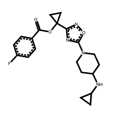 O=C(OC1(c2noc(N3CCC(NC4CC4)CC3)n2)CC1)c1ccc(F)cc1